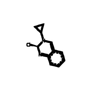 Cl[C@@H]1N=c2ccccc2=CN1C1CC1